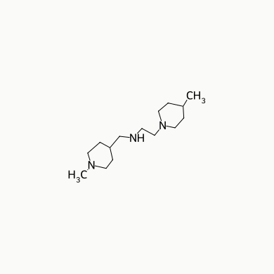 CC1CCN(CCNCC2CCN(C)CC2)CC1